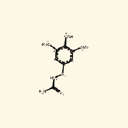 COc1cc(SNC(N)=O)cc(OC)c1OC